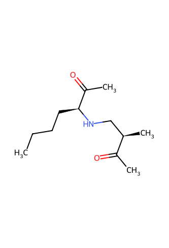 CCCC[C@H](NC[C@@H](C)C(C)=O)C(C)=O